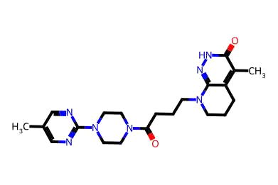 Cc1cnc(N2CCN(C(=O)CCCN3CCCc4c3n[nH]c(=O)c4C)CC2)nc1